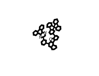 c1cc(-c2cnc3c4ccccc4c4ccccc4c3n2)cc(-c2cc3ccccc3c3c2oc2c(-c4ccc5c(c4)C4(c6ccccc6-c6ccccc64)c4ccccc4-5)cccc23)c1